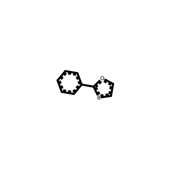 b1ccoc1-c1ccccc1